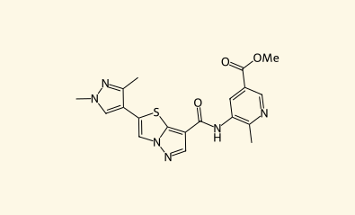 COC(=O)c1cnc(C)c(NC(=O)c2cnn3cc(-c4cn(C)nc4C)sc23)c1